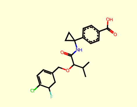 CC(C)C(OCC1=CC=C(Cl)C(F)C1)C(=O)NC1(c2ccc(C(=O)O)cc2)CC1